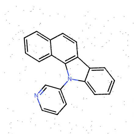 c1cncc(-n2c3ccccc3c3ccc4ccccc4c32)c1